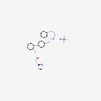 CC(C)(N)C(=O)N[C@@H]1CCc2ccccc2N(Cc2ccc(-c3ccccc3CNC(=O)Cc3c[nH]cn3)cc2)C1=O